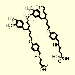 CCCC(CCCOc1ccc(CNCCC(=O)O)cc1)Cc1ccc(C)c(C)c1.CCCCC(CCCOc1ccc(CNCCCP(=O)(O)O)cc1)Cc1ccc(C)c(C)c1